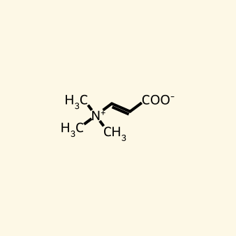 C[N+](C)(C)C=CC(=O)[O-]